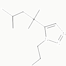 CCCn1nncc1C(C)(C)CC(C)C